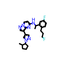 CC(Nc1ccn2ncc(-c3cnn(C4CCCC4C)c3)c2n1)c1cc(F)ccc1CCCF